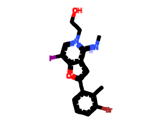 C/N=c1/c2cc(-c3cccc(Br)c3C)oc2c(I)cn1CCO